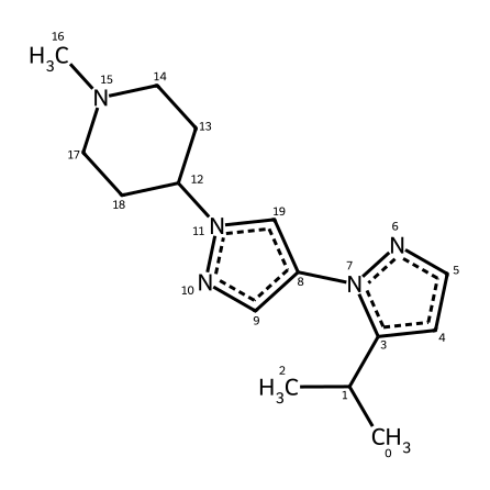 CC(C)c1ccnn1-c1cnn(C2CCN(C)CC2)c1